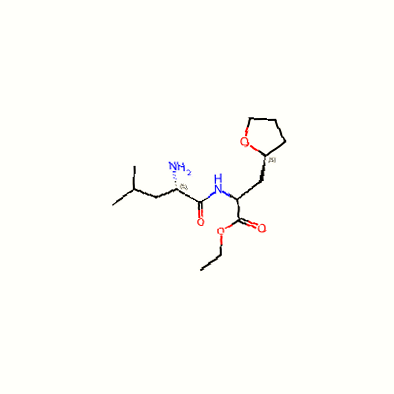 CCOC(=O)C(C[C@@H]1CCCO1)NC(=O)[C@@H](N)CC(C)C